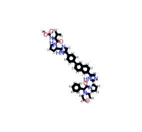 COC(=O)N[C@H](C(=O)N1CCCC1c1ncc(-c2ccc(-c3ccc4cc(-c5cnc([C@@H]6CCCN6C(=O)C(c6ccccc6)N6CCOCC6)[nH]5)ccc4c3)cc2)[nH]1)C(C)C